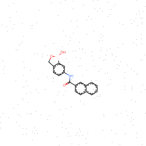 O=C(Nc1ccc2c(c1)B(O)OC2)c1ccc2ccccc2c1